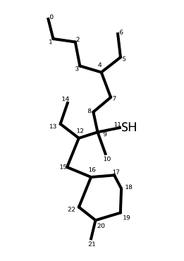 CCCCC(CC)CCC(C)(S)C(CC)CC1CCCC(C)C1